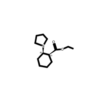 CCOC(=O)[C@H]1CCCC[C@H]1N1CCCC1